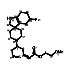 CCCC(C)CC(C/C=N\C(=O)OCCOC)N1CCC2(CC1)CNC1=C2CC(F)CC1